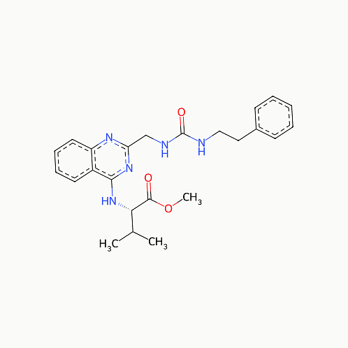 COC(=O)[C@@H](Nc1nc(CNC(=O)NCCc2ccccc2)nc2ccccc12)C(C)C